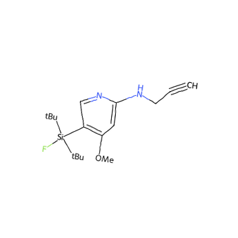 C#CCNc1cc(OC)c([Si](F)(C(C)(C)C)C(C)(C)C)cn1